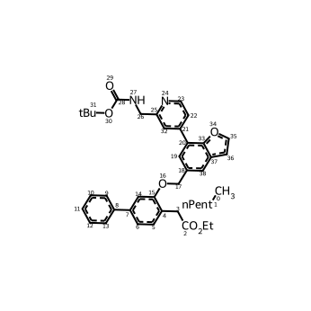 CCCCCC.CCOC(=O)Cc1ccc(-c2ccccc2)cc1OCc1cc(-c2ccnc(CNC(=O)OC(C)(C)C)c2)c2occc2c1